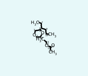 C1COCCO1.CCCCCC.CCOC(C)=O